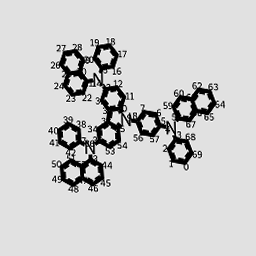 c1ccc(N(c2ccc(-n3c4ccc(N(c5ccccc5)c5cccc6ccccc56)cc4c4cc(N(c5ccccc5)c5cccc6ccccc56)ccc43)cc2)c2ccc3ccccc3c2)cc1